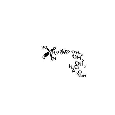 O.O.O.O.O.O.O.O.O.O=S(=O)(O)O.[NaH]